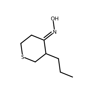 CCCC1CSCCC1=NO